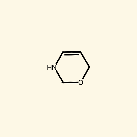 [CH]1NC=CCO1